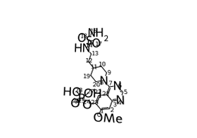 COc1cc2ncnc(N3CCC(CCNS(N)(=O)=O)CC3)c2cc1OP(=O)(O)O